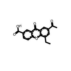 CCc1cc(C(C)=O)cc2c(=O)c3cc(C(=O)O)ccc3oc12